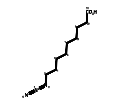 [N-]=[N+]=NCCCCCCCCC(=O)O